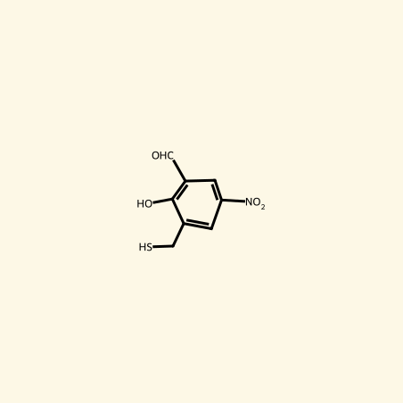 O=Cc1cc([N+](=O)[O-])cc(CS)c1O